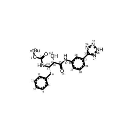 CC(C)(C)OC(=O)N[C@@H](Cc1ccccc1)[C@H](O)C(=O)Nc1cccc(-c2nn[nH]n2)c1